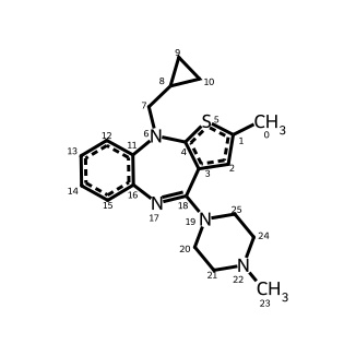 Cc1cc2c(s1)N(CC1CC1)c1ccccc1N=C2N1CCN(C)CC1